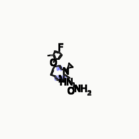 Cc1cc(F)ccc1OC1C=C/C=C/N=C(/CNCC(N)=O)N(C2CC2)/C=C/1